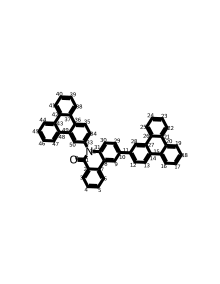 O=c1c2ccccc2c2cc(-c3ccc4c5ccccc5c5ccccc5c4c3)ccc2n1-c1ccc2c3ccccc3c3ccccc3c2c1